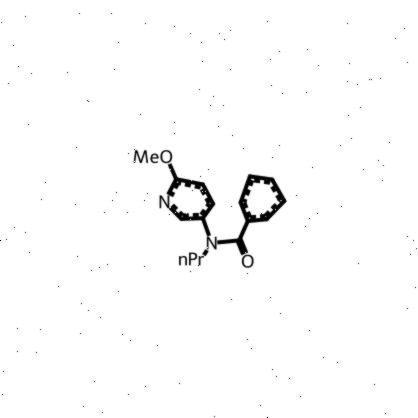 CCCN(C(=O)c1ccccc1)c1ccc(OC)nc1